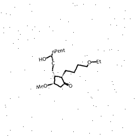 CCCCCC(O)CC[C@H]1[C@H](OC)CC(=O)[C@@H]1CCCCOCC